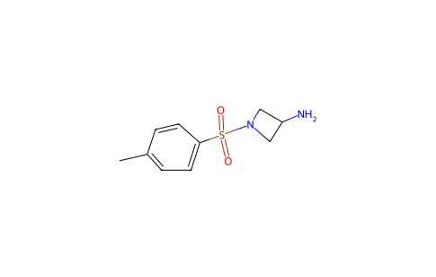 Cc1ccc(S(=O)(=O)N2CC(N)C2)cc1